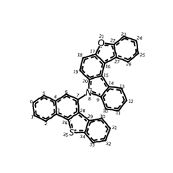 c1ccc2c(c1)cc(-n1c3ccccc3c3c4c(ccc31)oc1ccccc14)c1c3ccccc3sc21